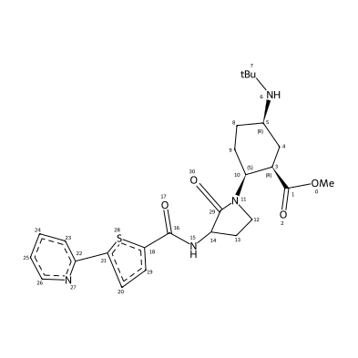 COC(=O)[C@@H]1C[C@H](NC(C)(C)C)CC[C@@H]1N1CCC(NC(=O)c2ccc(-c3ccccn3)s2)C1=O